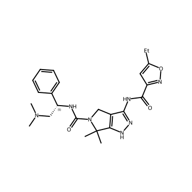 CCc1cc(C(=O)Nc2n[nH]c3c2CN(C(=O)N[C@H](CN(C)C)c2ccccc2)C3(C)C)no1